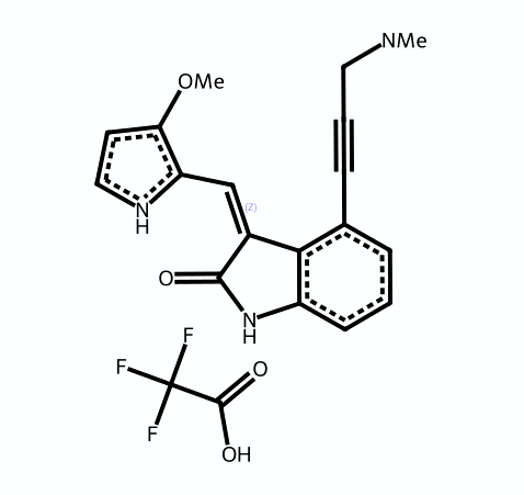 CNCC#Cc1cccc2c1/C(=C/c1[nH]ccc1OC)C(=O)N2.O=C(O)C(F)(F)F